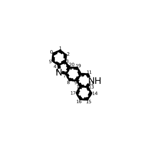 c1ccc2c(c1)nc1cc3c(c[nH]c4ccccc43)cc12